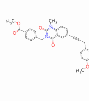 COC(=O)c1ccc(Cn2c(=O)c3cc(C#CCc4ccc(OC)cc4)ccc3n(C)c2=O)cc1